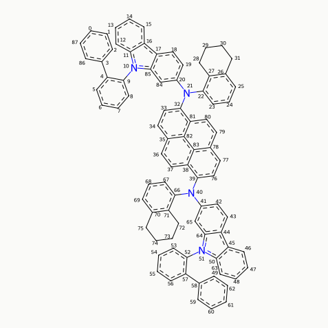 c1ccc(-c2ccccc2-n2c3ccccc3c3ccc(N(c4cccc5c4CCCC5)c4ccc5ccc6c(N(c7ccc8c9ccccc9n(-c9ccccc9-c9ccccc9)c8c7)c7cccc8c7CCCC8)ccc7ccc4c5c76)cc32)cc1